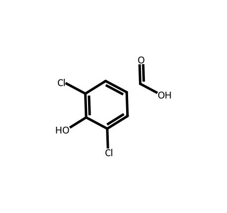 O=CO.Oc1c(Cl)cccc1Cl